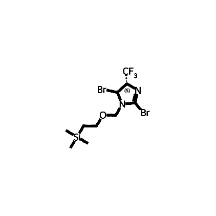 C[Si](C)(C)CCOCN1C(Br)=N[C@@H](C(F)(F)F)C1Br